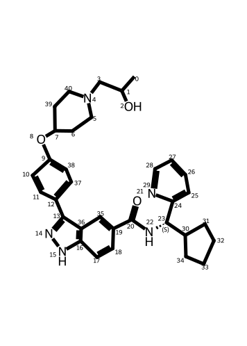 CC(O)CN1CCC(Oc2ccc(-c3n[nH]c4ccc(C(=O)N[C@H](c5ccccn5)C5CCCC5)cc34)cc2)CC1